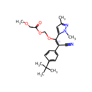 COCC(=O)OCO/C(=C(/C#N)c1ccc(C(C)(C)C)cc1)c1cc(C)nn1C